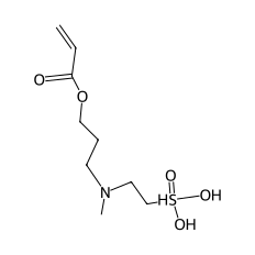 C=CC(=O)OCCCN(C)CC[SH](=O)(O)O